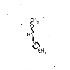 CCOCCNCCN1CCN(C)CC1